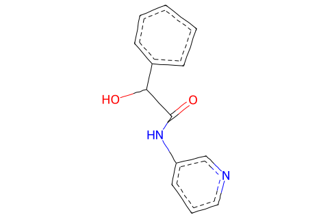 O=C(Nc1cccnc1)C(O)c1ccccc1